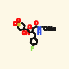 COCNC(=O)c1oc(C2(O)CCS(=O)(=O)CC2)cc1Cc1ccc(F)cc1